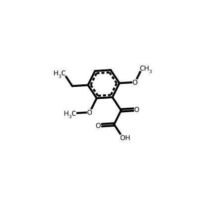 CCc1ccc(OC)c(C(=O)C(=O)O)c1OC